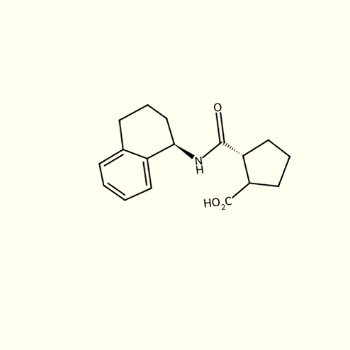 O=C(O)C1CCC[C@H]1C(=O)N[C@@H]1CCCc2ccccc21